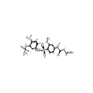 CCOc1cc(N(I)C(=O)CNC(C)=O)ccc1S(=O)(=O)Nc1ccc(C)c(OC(C)(F)F)c1